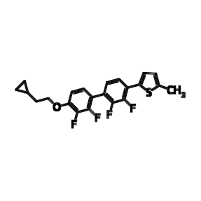 Cc1ccc(-c2ccc(-c3ccc(OCCC4CC4)c(F)c3F)c(F)c2F)s1